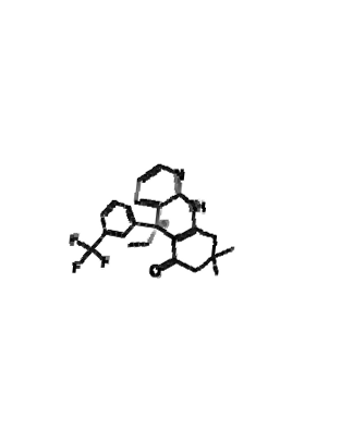 CC[C@@]1(c2cccc(C(F)(F)F)c2)C2=C(CC(C)(C)CC2=O)Nc2ncccc21